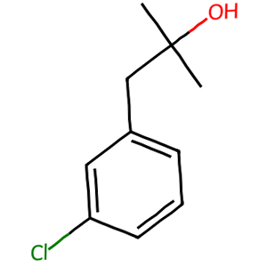 CC(C)(O)Cc1cccc(Cl)c1